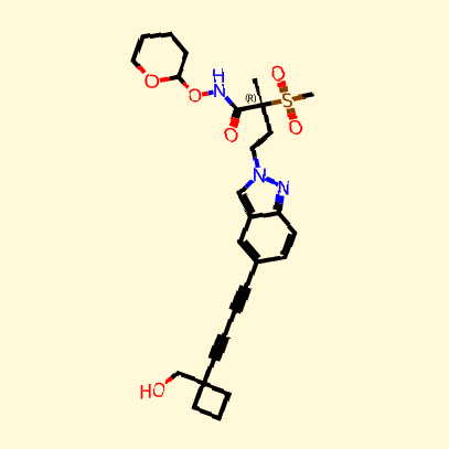 C[C@@](CCn1cc2cc(C#CC#CC3(CO)CCC3)ccc2n1)(C(=O)NOC1CCCCO1)S(C)(=O)=O